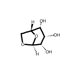 O[C@@H]1[C@H](O)[C@H]2OC[C@@H](O2)[C@@H]1O